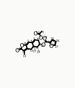 CC(=O)O[C@@H]1C=C2C=C3OC(=O)C(C)=C3C[C@]2(C)[C@@H](C)[C@H]1OC(=O)c1ccco1